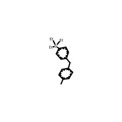 CC[Si](CC)(CC)c1ccc([C]c2ccc(C)cc2)cc1